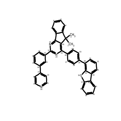 CC1(C)c2ccccc2-c2nc(-c3cccc(-c4ccncc4)c3)nc(-c3ccc(-c4cccc5c4sc4ccccc45)cc3)c21